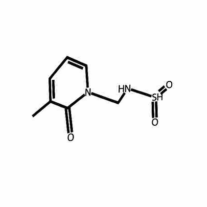 Cc1cccn(CN[SH](=O)=O)c1=O